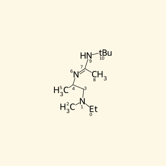 CCN(C)CC(C)/N=C(\C)NC(C)(C)C